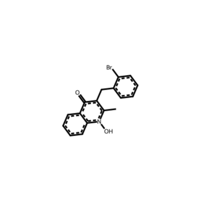 Cc1c(Cc2ccccc2Br)c(=O)c2ccccc2n1O